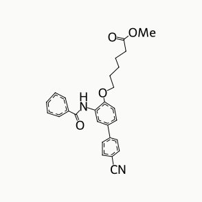 COC(=O)CCCCCOc1ccc(-c2ccc(C#N)cc2)cc1NC(=O)c1ccccc1